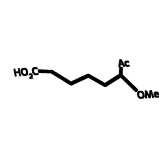 COC(CCCCC(=O)O)C(C)=O